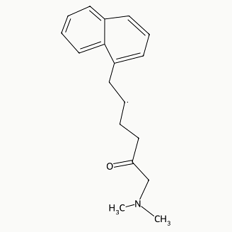 CN(C)CC(=O)CC[CH]Cc1cccc2ccccc12